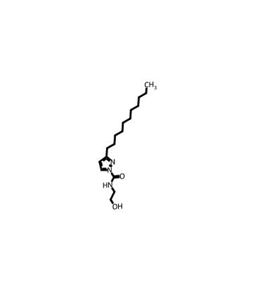 CCCCCCCCCCCc1ccn(C(=O)NCCO)n1